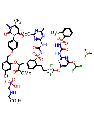 CCc1ccc(COc2ccc(-n3c(=O)cc(C(F)(F)F)n(C)c3=O)cc2)c(OC(C)C(=O)OC)c1.COc1nc(C)nc(NC(=O)NS(=O)(=O)c2ccccc2CCC(F)(F)F)n1.C[S+](C)C.O=C(Nc1nc(OC(F)F)cc(OC(F)F)n1)NS(=O)(=O)c1ccccc1C(=O)O.O=C(O)CNCP(=O)([O-])O